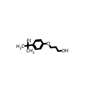 CCC(C)(C)c1ccc(OCCCO)cc1